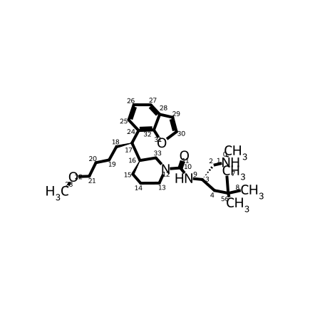 CNC[C@H](CC(C)(C)C)NC(=O)N1CCC[C@@H]([C@@H](CCCCOC)c2cccc3ccoc23)C1